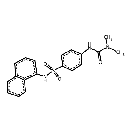 CN(C)C(=O)Nc1ccc(S(=O)(=O)Nc2cccc3ccccc23)cc1